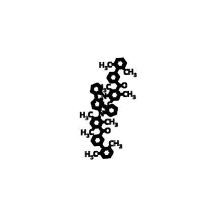 Cc1cc(C)c(-n2c3ccccc3c3c2ccc2c4ccccc4n(-c4c(C)cc(C)c(C(=O)c5cccc(-c6c(C)cccc6C)c5)c4C)c23)c(C)c1C(=O)c1cccc(-c2c(C)cccc2C)c1